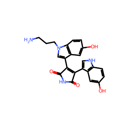 NCCCn1cc(C2=C(c3c[nH]c4ccc(O)cc34)C(=O)NC2=O)c2cc(O)ccc21